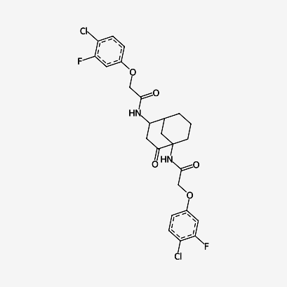 O=C(COc1ccc(Cl)c(F)c1)NC1CC(=O)C2(NC(=O)COc3ccc(Cl)c(F)c3)CCCC1C2